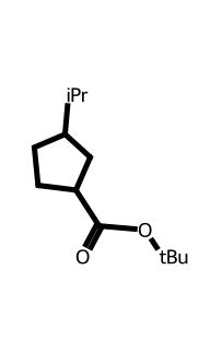 CC(C)C1CCC(C(=O)OC(C)(C)C)C1